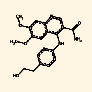 COc1cc2ncc(C(N)=O)c(Nc3ccc(CCO)cc3)c2cc1OC